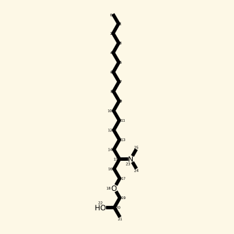 CCCCCCCCCCCCCCCC(CCOCC(C)O)N(C)C